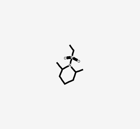 CCS(=O)(=O)N1C(C)CCCC1C